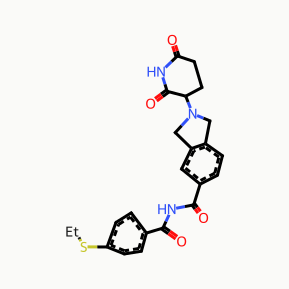 CCSc1ccc(C(=O)NC(=O)c2ccc3c(c2)CN(C2CCC(=O)NC2=O)C3)cc1